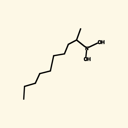 CCCCCCCCC(C)N(O)O